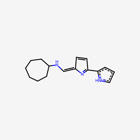 C1=C/C(=C\NC2CCCCCC2)N=C1c1ccc[nH]1